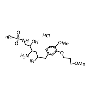 CCCS(=O)(=O)NCC(O)C(N)CC(Cc1ccc(OC)c(OCCCOC)c1)C(C)C.Cl